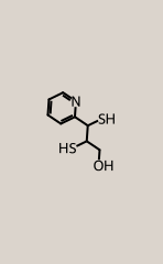 OCC(S)C(S)c1ccccn1